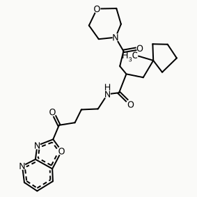 CC1(CC(CC(=O)N2CCOCC2)C(=O)NCCCC(=O)c2nc3ncccc3o2)CCCC1